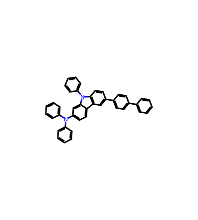 c1ccc(-c2ccc(-c3ccc4c(c3)c3ccc(N(c5ccccc5)c5ccccc5)cc3n4-c3ccccc3)cc2)cc1